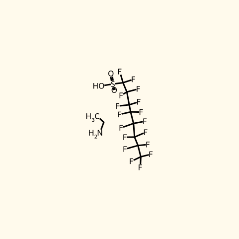 CCN.O=S(=O)(O)C(F)(F)C(F)(F)C(F)(F)C(F)(F)C(F)(F)C(F)(F)C(F)(F)C(F)(F)F